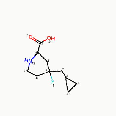 O=C(O)C1CC(F)(CC2CC2)CCN1